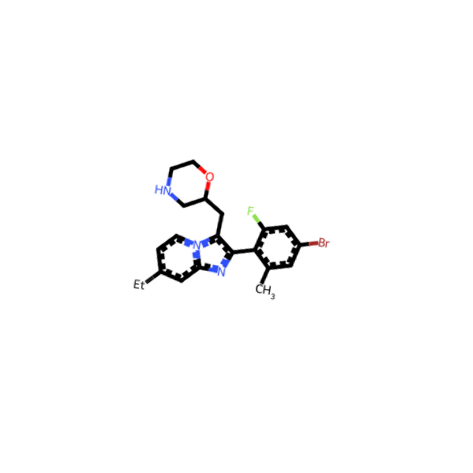 CCc1ccn2c(CC3CNCCO3)c(-c3c(C)cc(Br)cc3F)nc2c1